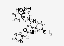 Cc1ccc2nc(N3CCS(O)(O)c4ccccc4C3)cc(NC(=O)Cc3ccccn3)c2c1